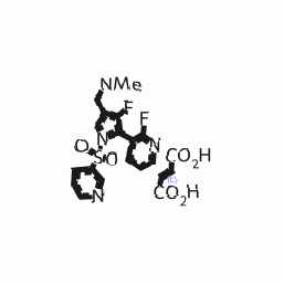 CNCc1cn(S(=O)(=O)c2cccnc2)c(-c2cccnc2F)c1F.O=C(O)/C=C/C(=O)O